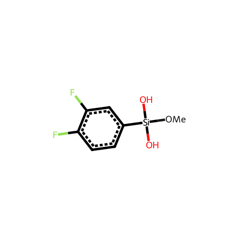 CO[Si](O)(O)c1ccc(F)c(F)c1